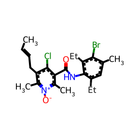 C/C=C/Cc1c(Cl)c(C(=O)Nc2c(CC)cc(C)c(Br)c2CC)c(C)[n+]([O-])c1C